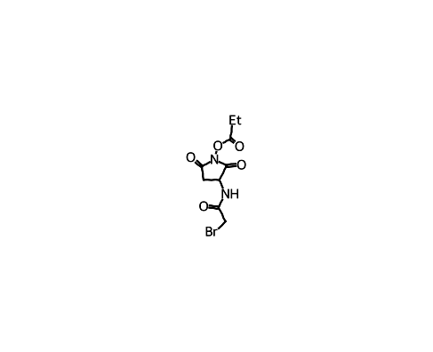 CCC(=O)ON1C(=O)CC(NC(=O)CBr)C1=O